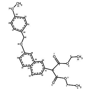 CCOC(=O)C(C(=O)OCC)c1cnc2ccc(OCc3ccc(OC)cc3)cc2c1